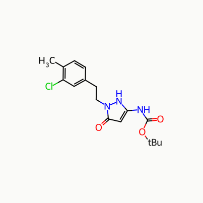 Cc1ccc(CCn2[nH]c(NC(=O)OC(C)(C)C)cc2=O)cc1Cl